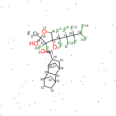 O=C(OC1(C(F)(F)C(F)(F)C(F)(F)C(F)F)COC(O)(C(F)(F)F)C1(F)F)C1CC2CC1C1C3CCC(C3)C21